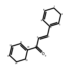 O=C(C=CC1=CCCC=C1)C1=CC=CCC1